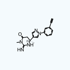 C#Cc1cccc(-n2cc([C@]3(C)CC(=O)N(C)C(=N)N3)cn2)c1